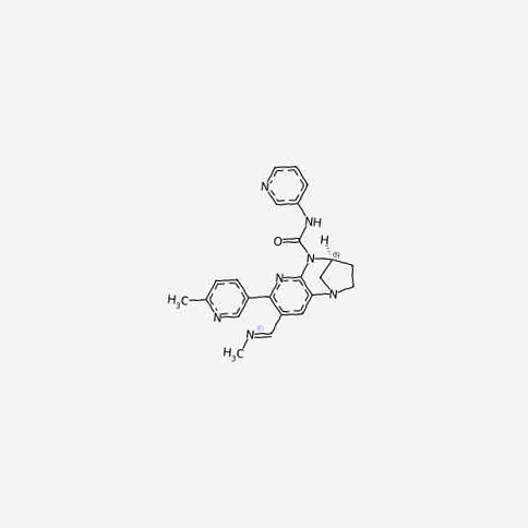 C/N=C/c1cc2c(nc1-c1ccc(C)nc1)N(C(=O)Nc1cccnc1)[C@H]1CCN2C1